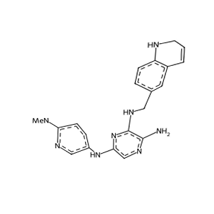 CNc1ccc(Nc2cnc(N)c(NCc3ccc4c(c3)C=CCN4)n2)cn1